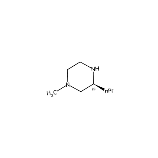 CCC[C@H]1CN(C)CCN1